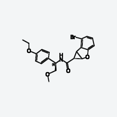 CCOc1ccc([C@H](COC)NC(=O)C2C3Oc4cccc(Br)c4C32)cc1